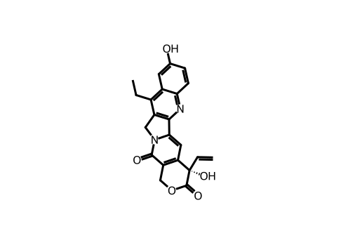 C=C[C@@]1(O)C(=O)OCc2c1cc1n(c2=O)Cc2c-1nc1ccc(O)cc1c2CC